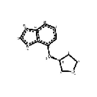 c1cc(O[C@H]2CCOC2)c2ncsc2c1